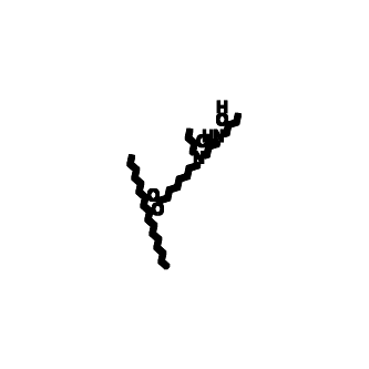 CCCCCCCCC(CCCCCCCC)OC(=O)CCCCCCCN(CCCNCC(O)CC)CC(O)CC